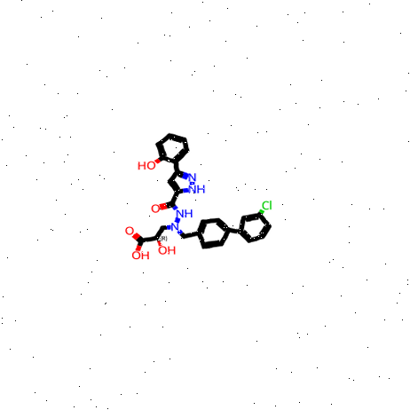 O=C(NN(Cc1ccc(-c2cccc(Cl)c2)cc1)C[C@@H](O)C(=O)O)c1cc(-c2ccccc2O)n[nH]1